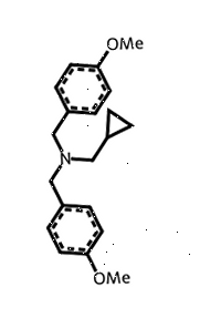 COc1ccc(CN(Cc2ccc(OC)cc2)CC2CC2)cc1